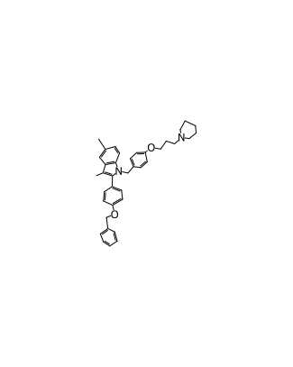 Cc1ccc2c(c1)c(C)c(-c1ccc(OCc3ccccc3)cc1)n2Cc1ccc(OCCCN2CCCCC2)cc1